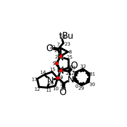 CN1C(=O)N(CC2CC2)C2(CC3CCC(C2)N3C[C@H]2CN(C(=O)CC(C)(C)C)C[C@@H]2c2ccccc2)C1=O